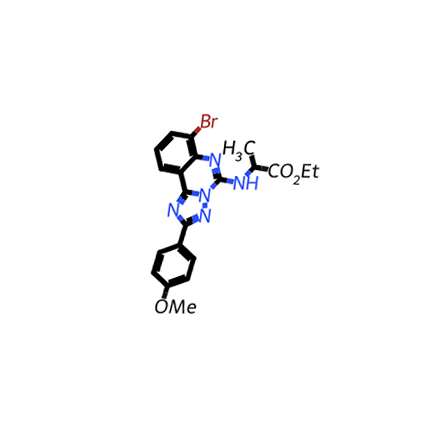 CCOC(=O)C(C)Nc1nc2c(Br)cccc2c2nc(-c3ccc(OC)cc3)nn12